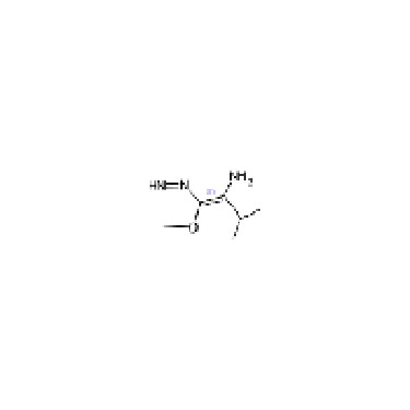 CO/C(N=N)=C(/N)C(C)C